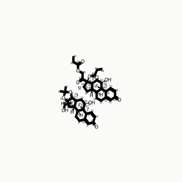 CC1(C)O[C@@H]2C[C@H]3[C@@H]4CCC5=CC(=O)C=C[C@]5(C)[C@@]4(F)[C@@H](O)C[C@]3(C)[C@]2(C(=O)CO)O1.CCC(=O)OCC(=O)[C@@]1(OC(=O)CC)[C@@H](C)C[C@H]2[C@@H]3CCC4=CC(=O)C=C[C@]4(C)[C@@]3(F)[C@@H](O)C[C@@]21C